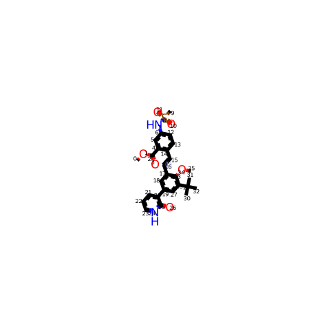 COC(=O)c1cc(NS(C)(=O)=O)ccc1/C=C/c1cc(-c2ccc[nH]c2=O)cc(C(C)(C)C)c1OC